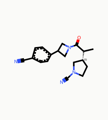 CC(C(=O)N1CC(c2ccc(C#N)cc2)C1)[C@@H]1CCN(C#N)C1